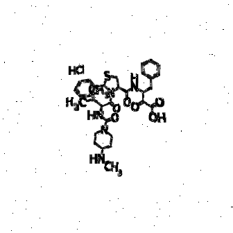 CNC1CCN(C(=O)N[C@H](C(=O)N2C(c3ccccc3)SC[C@H]2C(=O)N[C@@H](Cc2ccccc2)C(=O)C(=O)O)C(C)C)CC1.Cl